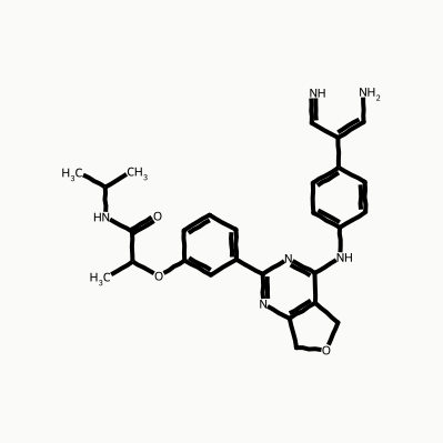 CC(C)NC(=O)C(C)Oc1cccc(-c2nc3c(c(Nc4ccc(/C(C=N)=C/N)cc4)n2)COC3)c1